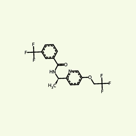 C[C@@H](NC(=O)c1cccc(C(F)(F)F)c1)c1ccc(OCC(F)(F)F)cn1